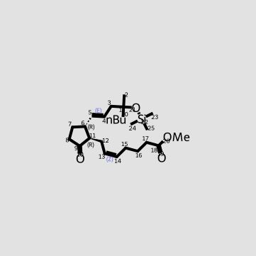 CCCCC(C)(C/C=C/[C@H]1CCC(=O)[C@@H]1C/C=C\CCCC(=O)OC)O[Si](C)(C)C